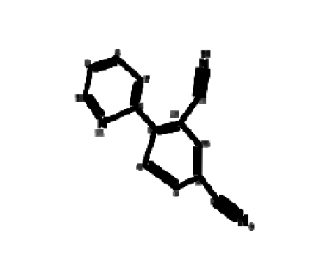 N#Cc1ccc(-c2cc[c]cn2)c(C#N)c1